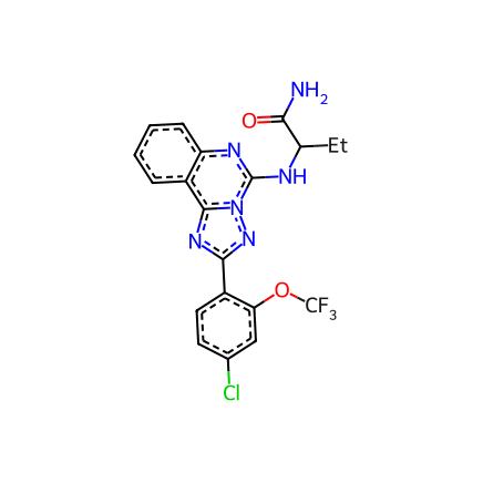 CCC(Nc1nc2ccccc2c2nc(-c3ccc(Cl)cc3OC(F)(F)F)nn12)C(N)=O